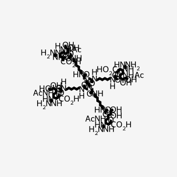 CC(=O)N[C@H]1[C@H]([C@H](OC(=O)NCCCCCCNC(=O)CN(CCN(CC(=O)NCCCCCCNC(=O)O[C@@H]([C@@H]2OC(C(=O)O)=C[C@H](NC(=N)N)[C@H]2NC(C)=O)[C@H](O)CO)CC(=O)NCCCCCCNC(=O)O[C@@H]([C@@H]2OC(C(=O)O)=C[C@H](NC(=N)N)[C@H]2NC(C)=O)[C@H](O)CO)CC(=O)NCCCCCCNC(=O)O[C@@H]([C@@H]2OC(C(=O)O)=C[C@H](NC(=N)N)[C@H]2NC(C)=O)[C@H](O)CO)[C@H](O)CO)OC(C(=O)O)=C[C@@H]1NC(=N)N